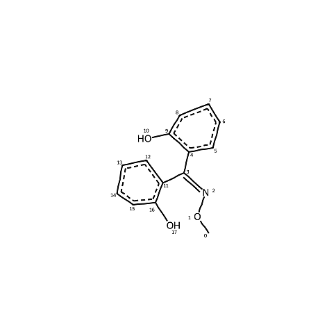 CON=C(c1ccccc1O)c1ccccc1O